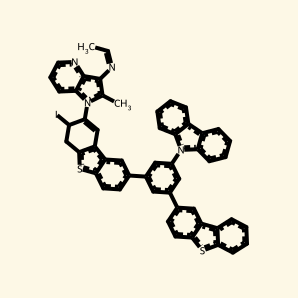 C/C=N\c1c(C)n(C2=Cc3c(sc4ccc(-c5cc(-c6ccc7sc8ccccc8c7c6)cc(-n6c7ccccc7c7ccccc76)c5)cc34)CC2I)c2cccnc12